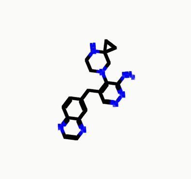 Nc1nncc(Cc2ccc3nccnc3c2)c1N1CCNC2(CC2)C1